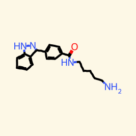 NCCCCCNC(=O)c1ccc(-c2n[nH]c3ccccc23)cc1